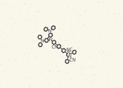 N#Cc1cc(-n2c3ccc(N(c4ccccc4)c4ccccc4)cc3c3cc(N(c4ccccc4)c4ccccc4)ccc32)ccc1-c1ccc(-c2ccc(-c3cc(-c4ccccc4C#N)nc(-c4ccccc4C#N)n3)cc2)cc1